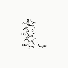 C#CC=Cc1ccc(O)c2c1CC1CC3CC(O)=C(C(N)=O)C(=O)C3C(O)=C1C2=O